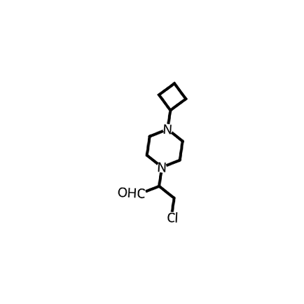 O=CC(CCl)N1CCN(C2CCC2)CC1